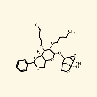 CCCCOC1[C@@H]2OC(c3ccccc3)OCC2O[C@@H](O[C@@H]2C3CO[C@H](O3)[C@@H]3OC23)[C@H]1OCCCC